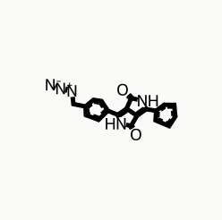 [N-]=[N+]=NCc1ccc(C2=C3C(=O)NC(c4ccccc4)=C3C(=O)N2)cc1